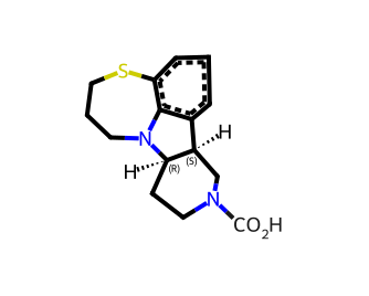 O=C(O)N1CC[C@@H]2[C@H](C1)c1cccc3c1N2CCCS3